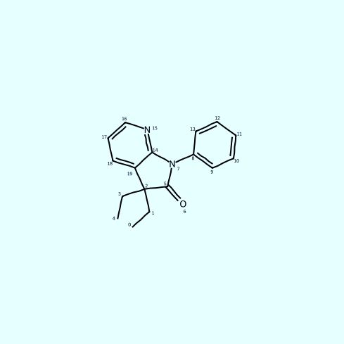 CCC1(CC)C(=O)N(c2ccccc2)c2ncccc21